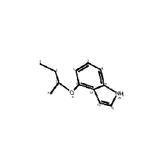 CCC(C)Oc1cccc2[nH]ccc12